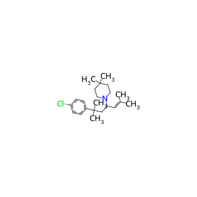 CC(C)=CC(CC(C)(C)c1ccc(Cl)cc1)N1CCC(C)(C)CC1